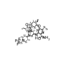 C=CC(=O)Nc1ccc(F)c(Oc2nc(N/C(C=N)=C/NC3CCN(CC(F)(F)F)CC3)c(C(N)=O)nc2CC)c1